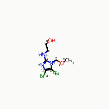 COCn1c(NCCO)nc(Br)c1Br